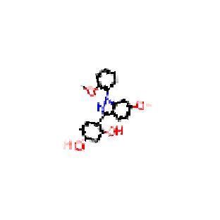 COc1ccccc1-n1nc(-c2ccc(O)cc2O)c2ccc(O)cc21